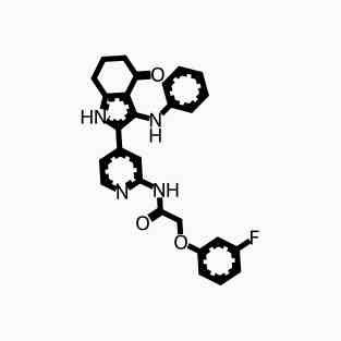 O=C(COc1cccc(F)c1)Nc1cc(-c2[nH]c3c(c2Nc2ccccc2)C(=O)CCC3)ccn1